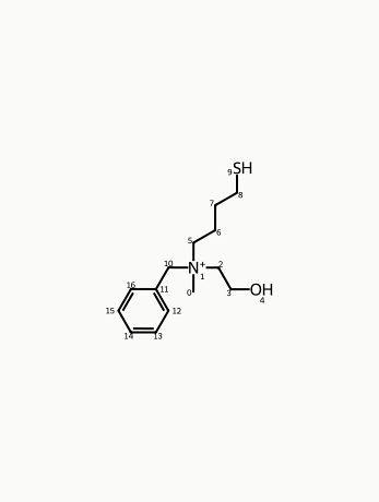 C[N+](CCO)(CCCCS)Cc1ccccc1